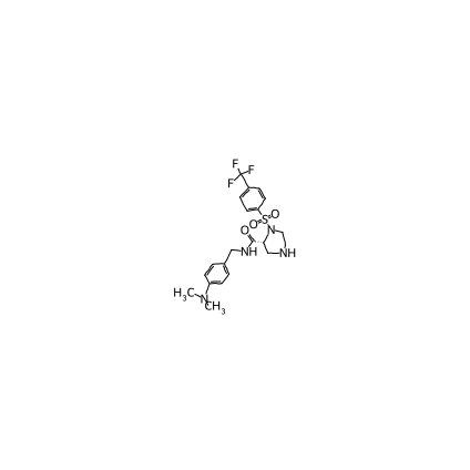 CN(C)c1ccc(CNC(=O)[C@H]2CNCCN2S(=O)(=O)c2ccc(C(F)(F)F)cc2)cc1